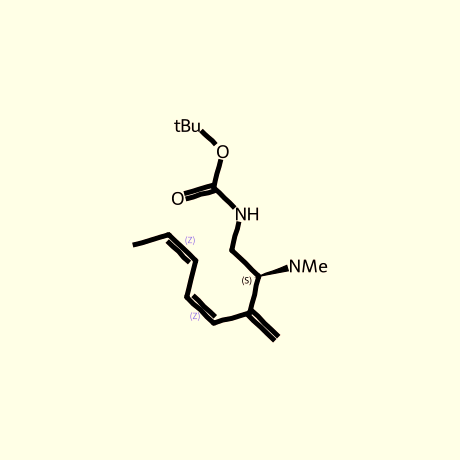 C=C(/C=C\C=C/C)[C@@H](CNC(=O)OC(C)(C)C)NC